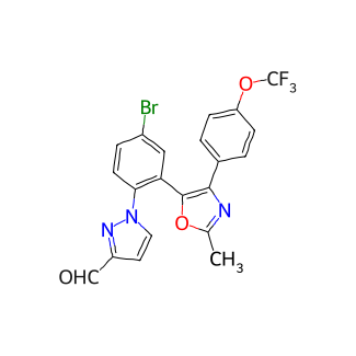 Cc1nc(-c2ccc(OC(F)(F)F)cc2)c(-c2cc(Br)ccc2-n2ccc(C=O)n2)o1